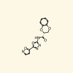 O=C(Nc1nnc(-c2ccno2)o1)[C@H]1COc2ccccc2O1